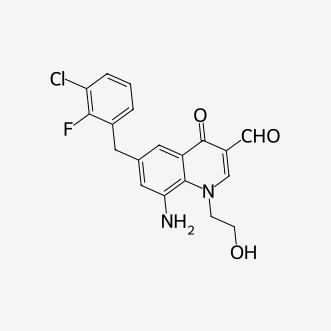 Nc1cc(Cc2cccc(Cl)c2F)cc2c(=O)c(C=O)cn(CCO)c12